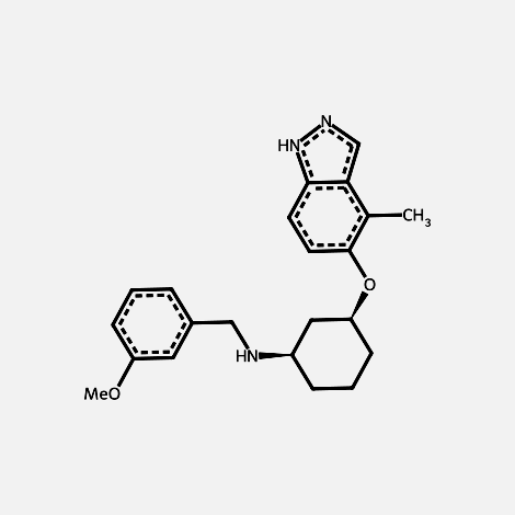 COc1cccc(CN[C@@H]2CCC[C@H](Oc3ccc4[nH]ncc4c3C)C2)c1